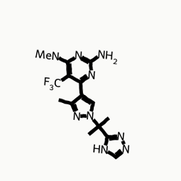 CNc1nc(N)nc(-c2cn(C(C)(C)c3nnc[nH]3)nc2C)c1C(F)(F)F